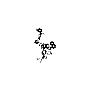 C=CC(=O)N1CCN(c2nc(OC[C@@H]3CCCN3CCCNC(=O)c3cccc(I)c3)nc3c2CCN(c2cccc4cccc(Cl)c24)C3)C[C@@H]1CC#N